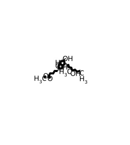 CCCCC(C)(O)CC=C[C@@H]1[C@H]2C[C@H](CCCCC(=O)OC)O[C@@H]2C[C@H]1O